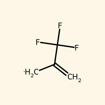 [CH2]C(=C)C(F)(F)F